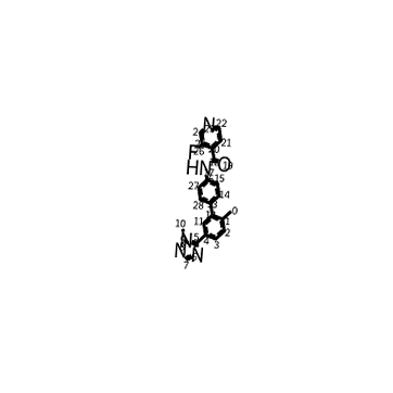 Cc1ccc(-c2ncnn2C)cc1-c1ccc(NC(=O)c2ccncc2F)cc1